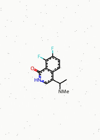 CNC(C)c1c[nH]c(=O)c2c(F)c(F)ccc12